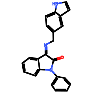 O=C1/C(=N\Cc2ccc3[nH]ccc3c2)c2ccccc2N1c1ccccc1